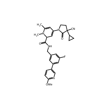 COc1ccc(-c2cc(F)cc(CNC(=O)C3C=C(N4CCC(C#N)(C5CC5)C4=O)C=C(C)N3C)c2)cn1